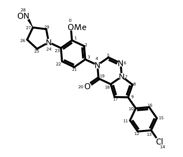 COc1cc(-n2cnn3cc(-c4ccc(Cl)cc4)cc3c2=O)ccc1N1CC[C@@H](N=O)C1